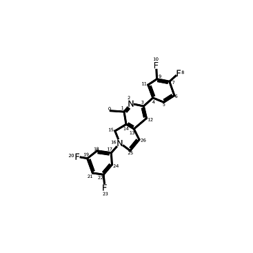 Cc1nc(-c2ccc(F)c(F)c2)cc2c1CN(c1cc(F)cc(F)c1)C=C2